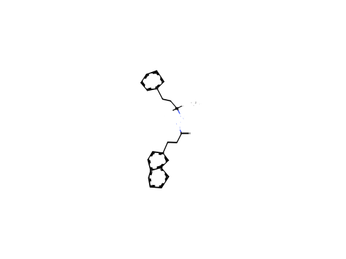 COC(C)(CCc1ccccc1)N=NC(C)CCc1ccc2ccccc2c1